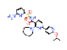 CC(C)Oc1ccc(-c2ccc(C(=O)NS(=O)(=O)c3cccc(N)n3)c(N3CCCCCC3)n2)cn1